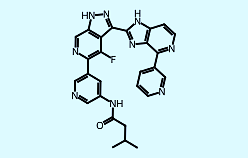 CC(C)CC(=O)Nc1cncc(-c2ncc3[nH]nc(-c4nc5c(-c6cccnc6)nccc5[nH]4)c3c2F)c1